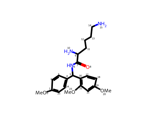 COc1ccc(C(NC(=O)C(N)CCCCN)c2ccc(OC)cc2OC)cc1